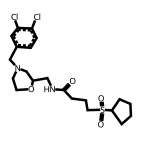 O=C(CCCS(=O)(=O)C1CCCC1)NCC1CN(Cc2ccc(Cl)c(Cl)c2)CCO1